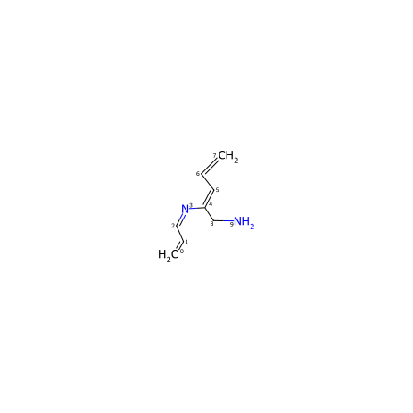 C=C/C=N\C(=C/C=C)CN